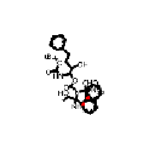 CC(O)C(N)(Cc1ccccc1)N(C(=O)OC(NC(=O)OC(C)(C)C)C(O)CCc1ccccc1)C(N)(C=O)c1ccccc1